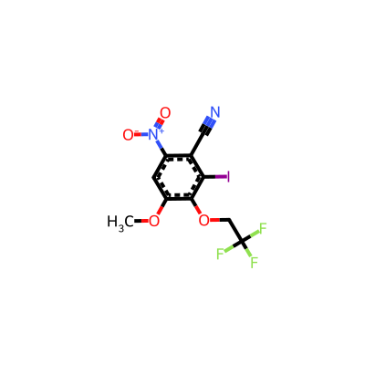 COc1cc([N+](=O)[O-])c(C#N)c(I)c1OCC(F)(F)F